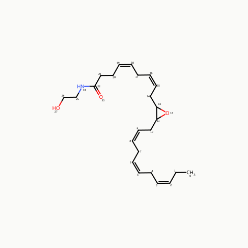 CC/C=C\C/C=C\C/C=C\CC1OC1C/C=C\C/C=C\CCC(=O)NCCO